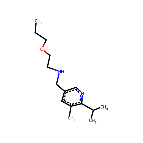 CCCOCCNCc1cnc(C(C)C)c(C)c1